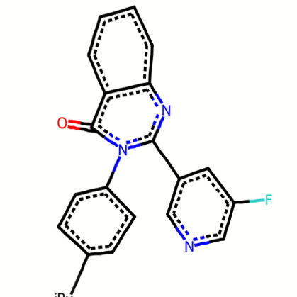 CCC(C)c1ccc(-n2c(-c3cncc(F)c3)nc3ccccc3c2=O)cc1